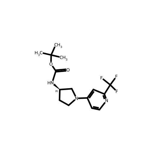 CC(C)(C)OC(=O)N[C@@H]1CCN(c2ccnc(C(F)(F)F)c2)C1